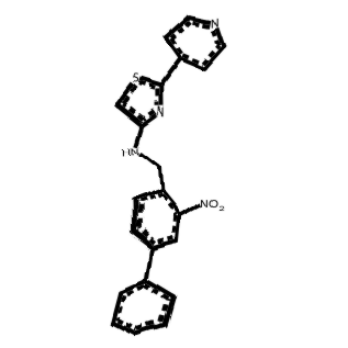 O=[N+]([O-])c1cc(-c2ccccc2)ccc1CNc1csc(-c2ccncc2)n1